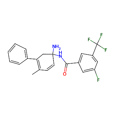 CC1=C(c2ccccc2)CC(N)(NC(=O)c2cc(F)cc(C(F)(F)F)c2)C=C1